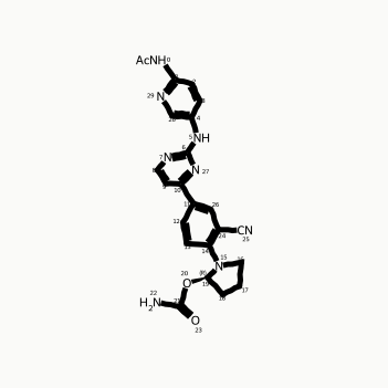 CC(=O)Nc1ccc(Nc2nccc(-c3ccc(N4CCC[C@H]4OC(N)=O)c(C#N)c3)n2)cn1